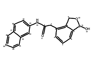 O=C(Cc1cccc2c1COB2O)Nc1ccc2cnccc2c1